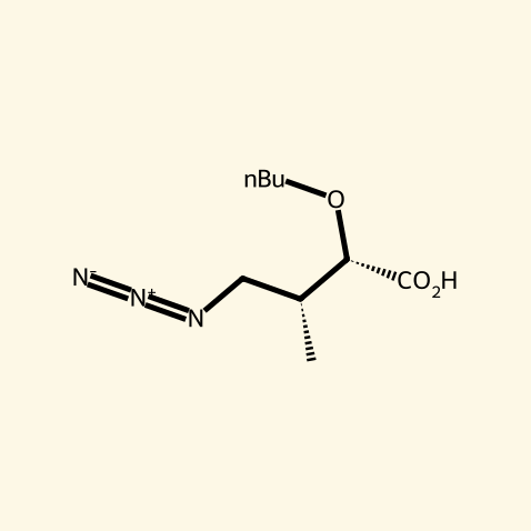 CCCCO[C@H](C(=O)O)[C@H](C)CN=[N+]=[N-]